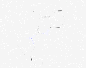 N#Cc1cc(N2CCC[C@H](C(=O)O)C2)nc2ccc(Cl)cc12